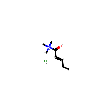 CCC=CC(=O)[N+](C)(C)C.[Cl-]